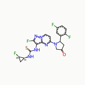 O=C1CC(c2cc(F)ccc2F)N(c2ccn3nc(F)c(NC(=S)N[C@H]4C[C@H]4F)c3n2)C1